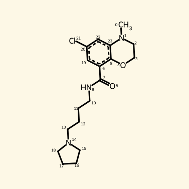 CN1CCOc2c(C(=O)NCCCCN3C[CH]CC3)cc(Cl)cc21